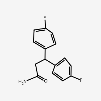 NC(=O)CC(c1ccc(F)cc1)c1ccc(F)cc1